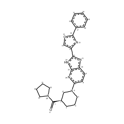 O=C([C@@H]1CCCN(c2ccc3nc(-c4coc(-c5ccccc5)n4)[nH]c3n2)C1)N1CCCC1